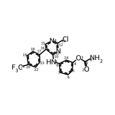 NC(=O)Oc1cccc(Nc2nc(Cl)ncc2-c2ccc(C(F)(F)F)cc2)c1